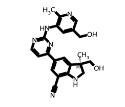 Cc1ncc(CO)cc1Nc1nccc(-c2cc(C#N)c3c(c2)[C@@](C)(CO)CN3)n1